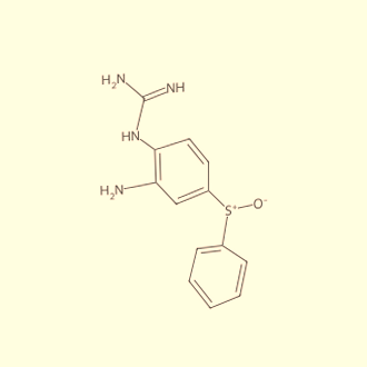 N=C(N)Nc1ccc([S+]([O-])c2ccccc2)cc1N